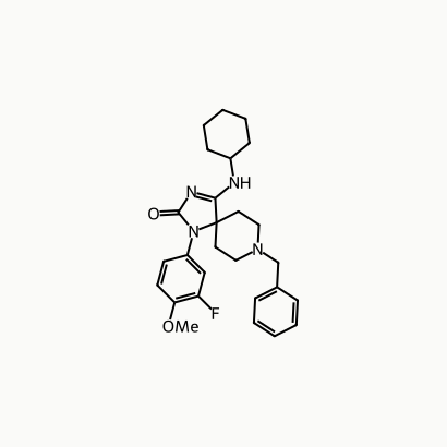 COc1ccc(N2C(=O)N=C(NC3CCCCC3)C23CCN(Cc2ccccc2)CC3)cc1F